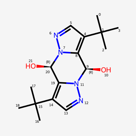 CC(C)(C)c1cnn2c1[C@@H](O)n1ncc(C(C)(C)C)c1[C@H]2O